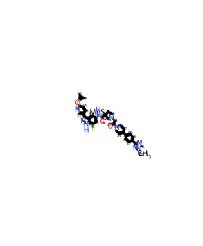 CS[C@@]1(C(=O)Nc2cc(F)c3[nH]nc(-c4ccc(OC5CC5)nc4)c3c2)CCN(CC(=O)N2CC=C(c3ccc(-c4ncn(C)n4)cc3)CC2)C1